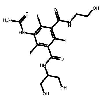 NC(=O)Nc1c(I)c(C(=O)NCCO)c(I)c(C(=O)NC(CO)CO)c1I